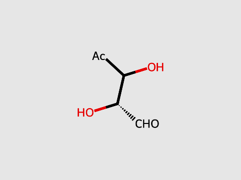 CC(=O)C(O)[C@@H](O)C=O